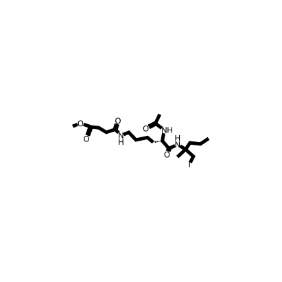 CCCC(C)(CI)NC(=O)[C@H](CCCCNC(=O)CCC(=O)OC)NC(C)=O